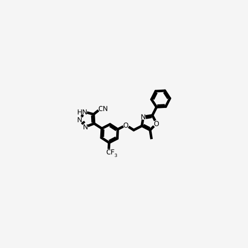 Cc1oc(-c2ccccc2)nc1COc1cc(-c2nn[nH]c2C#N)cc(C(F)(F)F)c1